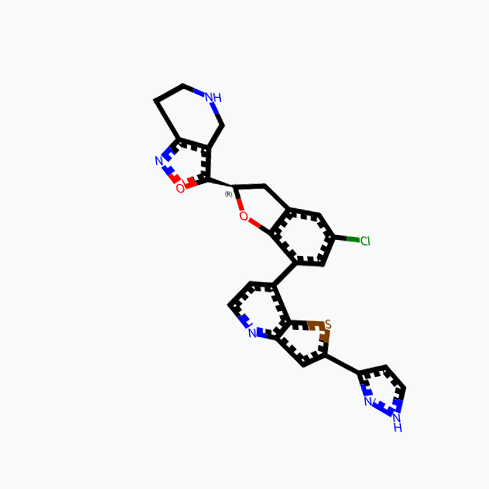 Clc1cc2c(c(-c3ccnc4cc(-c5cc[nH]n5)sc34)c1)O[C@@H](c1onc3c1CNCC3)C2